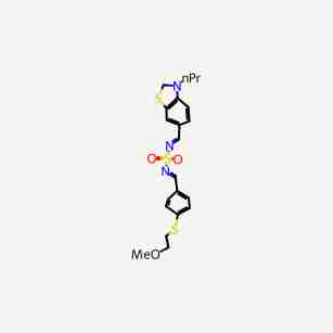 CCCN1CSc2cc(C=NS(=O)(=O)N=Cc3ccc(SCCOC)cc3)ccc21